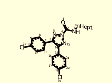 CCCCCCCNC(=O)n1nc(-c2ccc(Cl)cc2)c(-c2ccc(Cl)cc2)n1